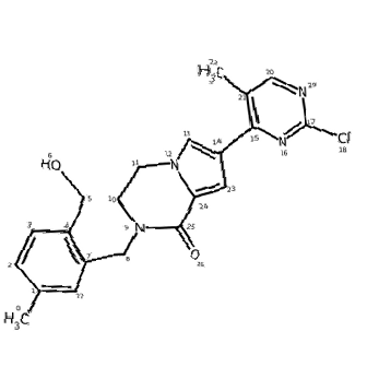 Cc1ccc(CO)c(CN2CCn3cc(-c4nc(Cl)ncc4C)cc3C2=O)c1